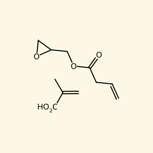 C=C(C)C(=O)O.C=CCC(=O)OCC1CO1